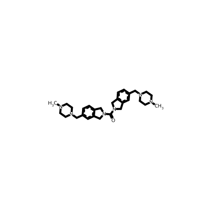 CN1CCN(Cc2ccc3c(c2)CN(C(=O)N2Cc4ccc(CN5CCN(C)CC5)cc4C2)C3)CC1